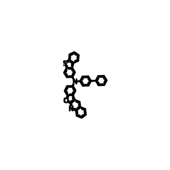 c1ccc(-c2ccc(N(c3ccc4oc5nc6ccccc6cc5c4c3)c3ccc4sc5ccccc5c4c3)cc2)cc1